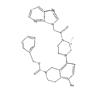 C[C@@H]1CN(c2ccc(Br)c3c2CN(C(=O)OCc2ccccc2)CC3)CCN1C(=O)Cn1cnc2cccnc21